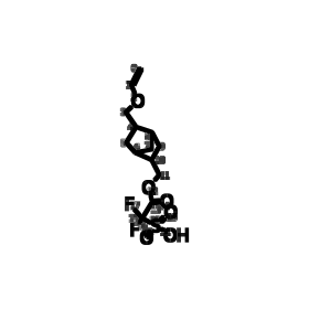 C=COCC1CC2CC1CC2COC(=O)C(F)(F)S(=O)(=O)O